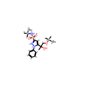 CC(O)(CO[Si](C)(C)C(C)(C)C)c1cc(S(=O)(=O)N[Si](C)(C)C(C)(C)C)nn1-c1ccccc1